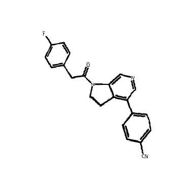 N#Cc1ccc(-c2cncc3c2CCN3C(=O)Cc2ccc(F)cc2)cc1